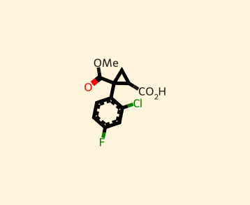 COC(=O)C1(c2ccc(F)cc2Cl)CC1C(=O)O